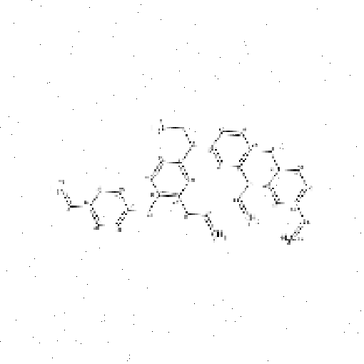 C=CCc1cc(C(CC)c2ccc(Cc3ccc(C=C)cc3)c(CC=C)c2)ccc1Cc1ccc(C=C)cc1